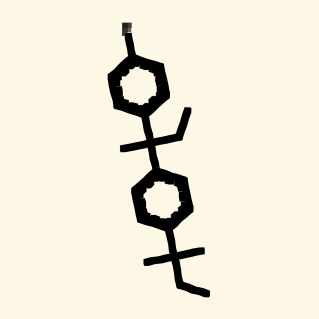 CCC(C)(C)c1ccc(C(C)(CC)c2ccc(F)cc2)cc1